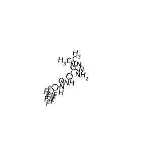 CC(C)n1cc(-c2ccc(NC(=O)Nc3cccc(C(F)(C(F)(F)F)C(F)(F)C(F)(F)F)c3)cc2)c2c(N)ncnc21